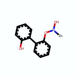 Oc1ccccc1-c1ccccc1O[N](O)[Zn]